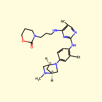 CCc1cc(N2C[C@@H]3C[C@H]2CN3C)ccc1Nc1ncc(C#N)c(NCCCN2CCCOC2=O)n1